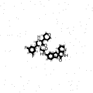 O=C(CN1C(=O)C(C2CCOCC2)NCC1c1cc(F)cc(F)c1)Nc1ccc2c(c1)CC1(C2)C(=O)Nc2ncccc21